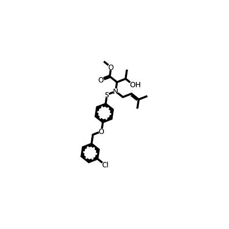 COC(=O)C(C(C)O)N(CC=C(C)C)Sc1ccc(OCc2cccc(Cl)c2)cc1